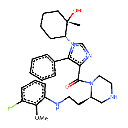 COc1c(F)cccc1NCC[C@@H]1CNCCN1C(=O)c1ncn([C@@H]2CCCC[C@]2(C)O)c1-c1ccccc1